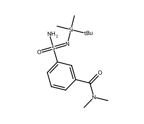 CN(C)C(=O)c1cccc(S(N)(=O)=N[Si](C)(C)C(C)(C)C)c1